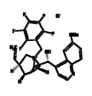 C=C[C@H]1C[N+]2(Cc3c(F)c(F)c(F)c(F)c3F)CC[C@H]1C[C@H]2[C@H](O)c1ccnc2ccc(OC)cc12.[Cl-]